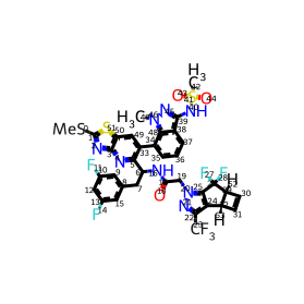 CSc1nc2nc(C(Cc3cc(F)cc(F)c3)NC(=O)Cn3nc(C(F)(F)F)c4c3C(F)(F)[C@@H]3C=C[C@H]43)c(-c3cccc4c(NS(C)(=O)=O)nn(C)c34)cc2s1